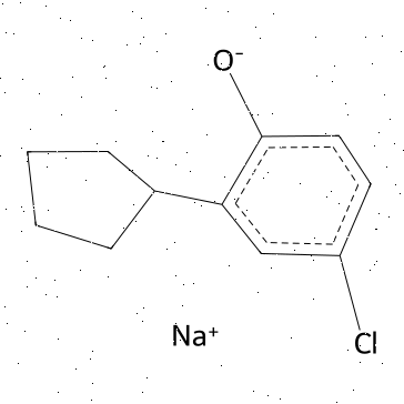 [Na+].[O-]c1ccc(Cl)cc1C1CCCC1